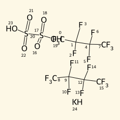 FC(F)(F)C(F)(F)C(F)(F)C(F)(F)F.FC(F)(F)C(F)(F)C(F)(F)C(F)(F)F.O=S(=O)(O)S(=O)(=O)O.[KH]